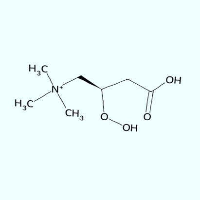 C[N+](C)(C)C[C@@H](CC(=O)O)OO